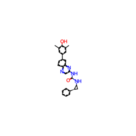 Cc1cc(-c2ccc3ncc(NC(=O)N[C@H]4C[C@H]4c4ccccc4)nc3c2)cc(C)c1O